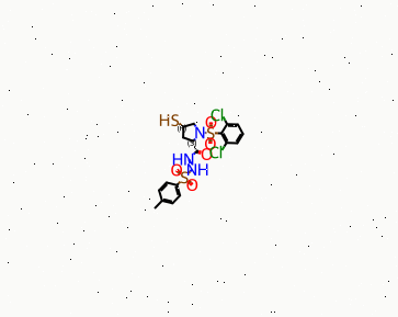 Cc1ccc(S(=O)(=O)NNC(=O)[C@@H]2C[C@@H](S)CN2S(=O)(=O)c2c(Cl)cccc2Cl)cc1